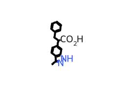 Cc1n[nH]c2cc(C(Cc3ccccc3)C(=O)O)ccc12